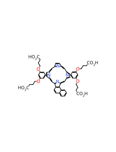 O=C(O)CCCOc1cc(OCCCC(=O)O)cc(-n2c3ccc2cc2nc(cc4ccc(cc5nc(c3)C=C5)n4-c3cc(OCCCC(=O)O)cc(OCCCC(=O)O)c3)-c3c-2ccc2ccccc32)c1